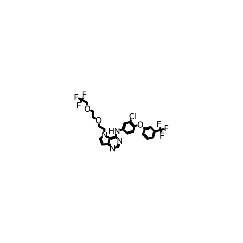 FC(F)(F)COCCOCCn1ccc2ncnc(Nc3ccc(Oc4cccc(C(F)(F)F)c4)c(Cl)c3)c21